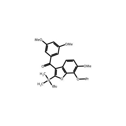 COc1cc(OC)cc(C(=O)c2c([Si](C)(C)C(C)(C)C)oc3c(OC(C)C)c(OC)ccc23)c1